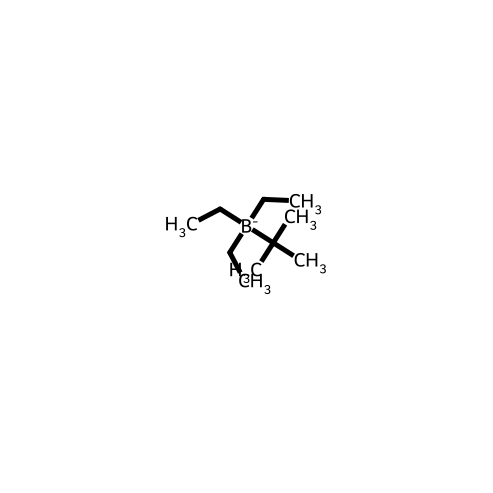 CC[B-](CC)(CC)C(C)(C)C